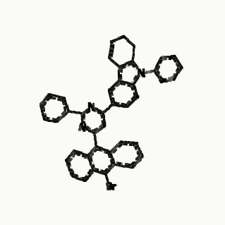 Brc1c2ccccc2c(-c2cc(-c3ccc4c(c3)c3c(n4-c4ccccc4)CCC=C3)nc(-c3ccccc3)n2)c2ccccc12